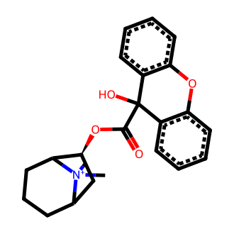 C[N+]1(C)C2CCCC1[C@@H](OC(=O)C1(O)c3ccccc3Oc3ccccc31)C2